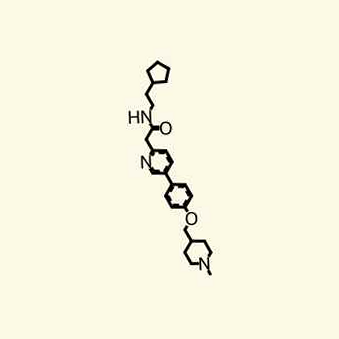 CN1CCC(COc2ccc(-c3ccc(CC(=O)NCCC4CCCC4)nc3)cc2)CC1